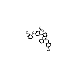 COC(=O)c1cc(Oc2ccccc2Cl)ccc1-c1cccc2c1c1ccccc1n2Cc1ccc(OC)cc1